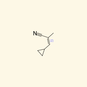 C/C(C#N)=C/C1CC1